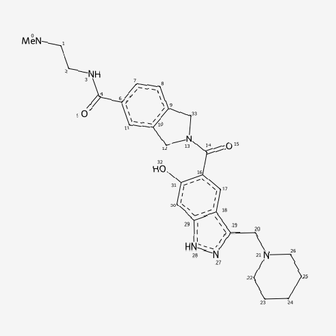 CNCCNC(=O)c1ccc2c(c1)CN(C(=O)c1cc3c(CN4CCCCC4)n[nH]c3cc1O)C2